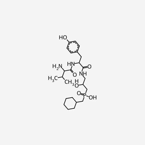 CC(C)C(N)C(=O)NC(Cc1ccc(O)cc1)C(=O)NCC(O)CP(=O)(O)CC1CCCCC1